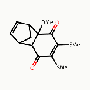 COC12C(=O)C(SC)=C(SC)C(=O)C1C1C=CC2C1